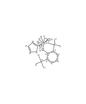 CC(C)(C)c1cccc(C(C)(C)C)c1[O][Ti]([CH3])([CH3])([CH3])([CH3])([CH3])([Cl])([Cl])[C]1=CC=CC1